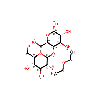 CCOCC.OC[C@H]1O[C@@H](O[C@H]2[C@H](O)[C@@H](O)[C@H](O)O[C@@H]2CO)[C@H](O)[C@@H](O)[C@@H]1O